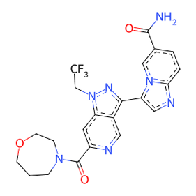 NC(=O)c1ccc2ncc(-c3nn(CC(F)(F)F)c4cc(C(=O)N5CCCOCC5)ncc34)n2c1